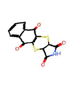 O=C1C2=C(SC3C(=O)NC(=O)C3S2)C(=O)c2ccccc21